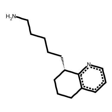 NCCCCC[C@H]1CCCc2cccnc21